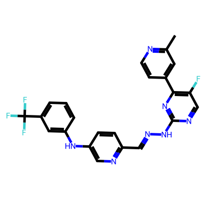 Cc1cc(-c2nc(N/N=C/c3ccc(Nc4cccc(C(F)(F)F)c4)cn3)ncc2F)ccn1